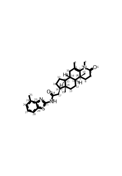 CC1=C2N(C)C(=O)CC[C@]2(C)[C@H]2CC[C@]3(C)[C@@H](CC(=O)Nc4nc5c(C)cccc5s4)CC[C@H]3[C@@H]2C1